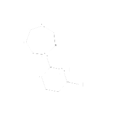 CC1CCCC(N2CCCNCC2)N1